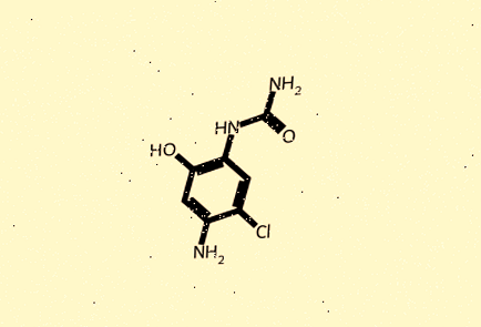 NC(=O)Nc1cc(Cl)c(N)cc1O